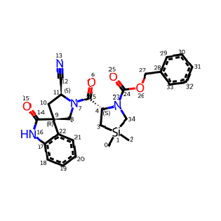 C[Si]1(C)C[C@H](C(=O)N2C[C@]3(C[C@H]2C#N)C(=O)Nc2ccccc23)N(C(=O)OCc2ccccc2)C1